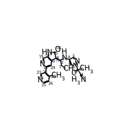 CC/C(Nc1cnn(C(C)(C)C#N)c1)=C1/C(=O)Nc2cnc(-c3cnccc3C)cc21